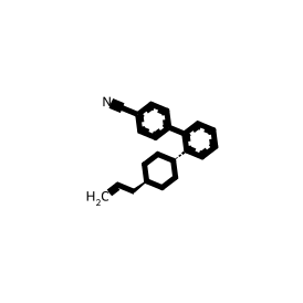 C=CC[C@H]1CC[C@H](c2ccccc2-c2ccc(C#N)cc2)CC1